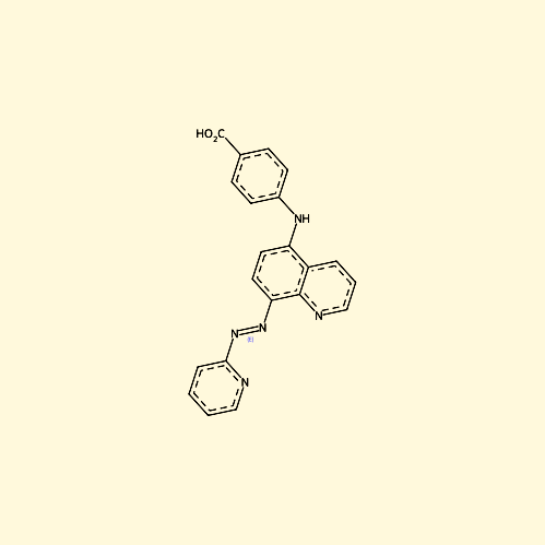 O=C(O)c1ccc(Nc2ccc(/N=N/c3ccccn3)c3ncccc23)cc1